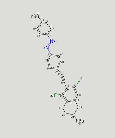 CCCCc1ccc(N=Nc2ccc(C#Cc3c(F)cc4c(c3F)CCC(CCCC)C4)cc2)cc1